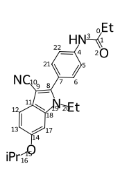 CCC(=O)Nc1ccc(-c2c(C#N)c3ccc(OC(C)C)cc3n2CC)cc1